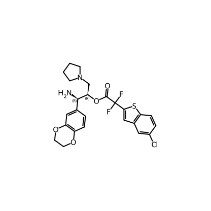 N[C@H](c1ccc2c(c1)OCCO2)[C@@H](CN1CCCC1)OC(=O)C(F)(F)c1cc2cc(Cl)ccc2s1